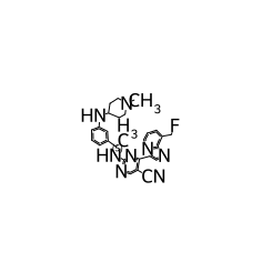 C[C@H](Nc1ncc(C#N)c(-c2cnc3c(CF)cccn23)n1)c1cccc(NC2CCN(C)CC2)c1